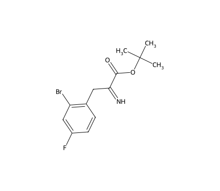 CC(C)(C)OC(=O)C(=N)Cc1ccc(F)cc1Br